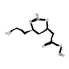 CC(C)(C)OC(=O)CC1C[C@@H](CCN)OBO1